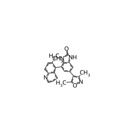 Cc1ccc2ncccc2c1-c1cc(-c2c(C)noc2C)cc2[nH]c(=O)n(C)c12